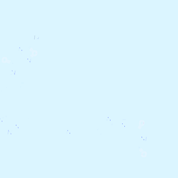 CC(C)(C)c1nc(C(=O)NCc2ccc(-c3ncnn4cc(CCCCN5CCC(c6ccc(NC7CCC(=O)NC7=O)nc6)CC5)cc34)cc2F)no1